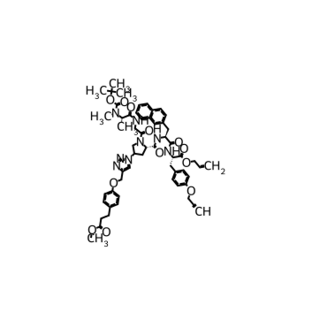 C#CCOc1ccc(C[C@H](NC(=O)[C@H](Cc2ccc3ccccc3c2)NC(=O)[C@@H]2CC(n3cc(COc4ccc(CCC(=O)OC)cc4)nn3)CN2C(=O)CNC(=O)[C@H](C)N(C)C(=O)OC(C)(C)C)C(=O)OCC=C)cc1